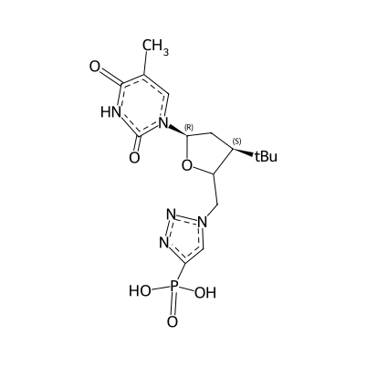 Cc1cn([C@H]2C[C@@H](C(C)(C)C)C(Cn3cc(P(=O)(O)O)nn3)O2)c(=O)[nH]c1=O